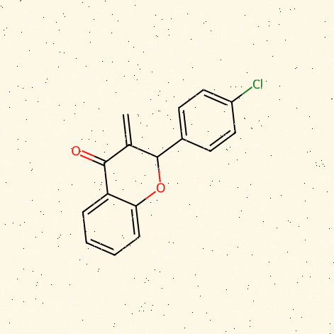 C=C1C(=O)c2ccccc2OC1c1ccc(Cl)cc1